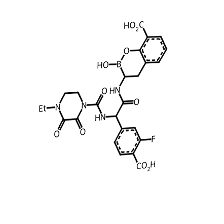 CCN1CCN(C(=O)NC(C(=O)NC2Cc3cccc(C(=O)O)c3OB2O)c2ccc(C(=O)O)c(F)c2)C(=O)C1=O